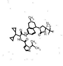 CC(C)n1nccc1C(=O)N[C@H](C(=O)Nc1ccc2c(c1)CN(C)CC2N1C[C@@](C)(C(F)(F)F)NC1=O)C(C1CC1)C1CC1